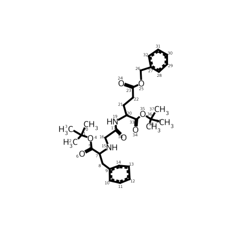 CC(C)(C)OC(=O)C(Cc1ccccc1)NCC(=O)NC(CCC(=O)OCc1ccccc1)C(=O)OC(C)(C)C